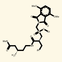 CCOP(=O)(C[C@@H](CC(C)C)C(=O)NCC[C@H](C)CC(=O)NC)CN1C(=O)c2c(OC)ccc(OC)c2C1=O